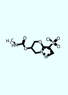 CNC(=O)OC1COc2c(S(=O)(=O)Cl)cnn2C1